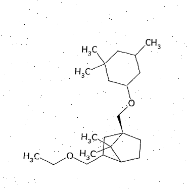 CCOCC1C[C@]2(COC3CC(C)CC(C)(C)C3)CCC1C2(C)C